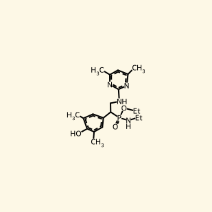 CCNP(=O)(OCC)C(CNc1nc(C)cc(C)n1)c1cc(C)c(O)c(C)c1